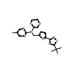 Fc1cnc(N(Cc2ccc(-c3noc(C(F)(F)F)n3)s2)c2cnccn2)nc1